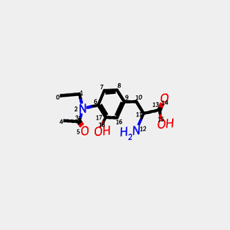 CCN(C(C)=O)c1ccc(CC(N)C(=O)O)cc1O